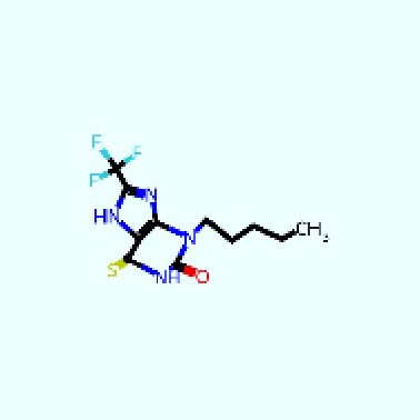 CCCCCn1c(=O)[nH]c(=S)c2[nH]c(C(F)(F)F)nc21